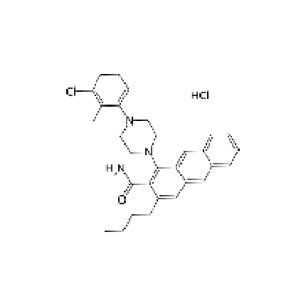 CCCCc1cc2cc3ccccc3cc2c(N2CCN(c3cccc(Cl)c3C)CC2)c1C(N)=O.Cl